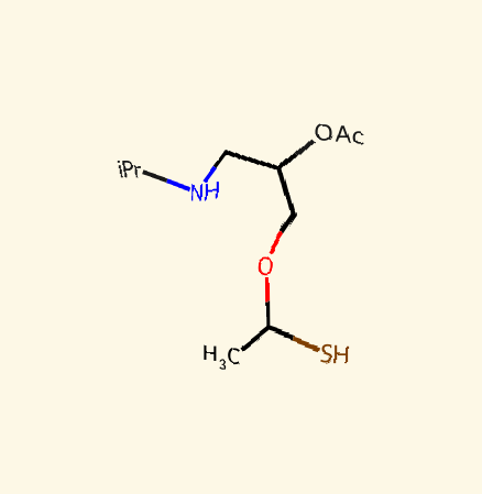 CC(=O)OC(CNC(C)C)COC(C)S